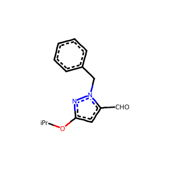 CC(C)Oc1cc(C=O)n(Cc2ccccc2)n1